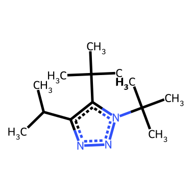 CC(C)c1nnn(C(C)(C)C)c1C(C)(C)C